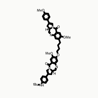 COc1ccc(C2=CN3C(=O)c4cc(OC)c(CCCCOc5cc6c(cc5OC)C(=O)N5C=C(c7ccc(NC(C)(C)C)cc7)C[C@H]5C=N6)cc4N=C[C@@H]3C2)cc1